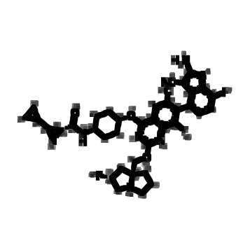 N#Cc1c(N)sc2c(F)ccc(-c3c(Cl)cc4c(O[C@H]5CC[C@H](NC(=O)[C@@H]6N=C6C6CC6)CC5)nc(OC[C@@]56CCCN5C[C@H](F)C6)nc4c3F)c12